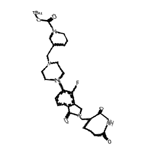 CC(C)(C)OC(=O)N1CCC=C(CN2CCN(c3ccc4c(c3F)CN(C3CCC(=O)NC3=O)C4=O)CC2)C1